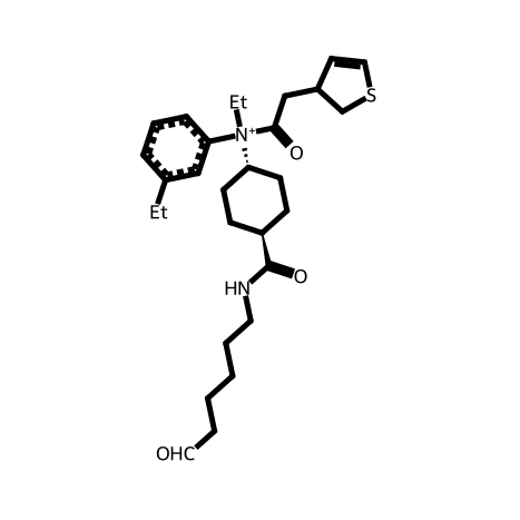 CCc1cccc([N+](CC)(C(=O)CC2C=CSC2)[C@H]2CC[C@H](C(=O)NCCCCCC=O)CC2)c1